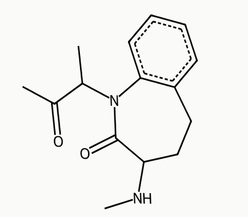 CNC1CCc2ccccc2N(C(C)C(C)=O)C1=O